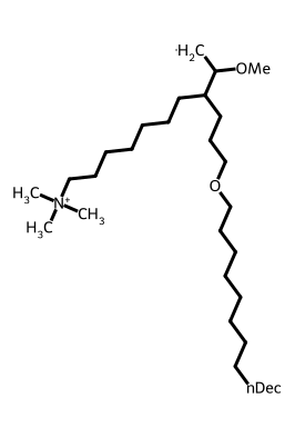 [CH2]C(OC)C(CCCCCCC[N+](C)(C)C)CCCOCCCCCCCCCCCCCCCCCC